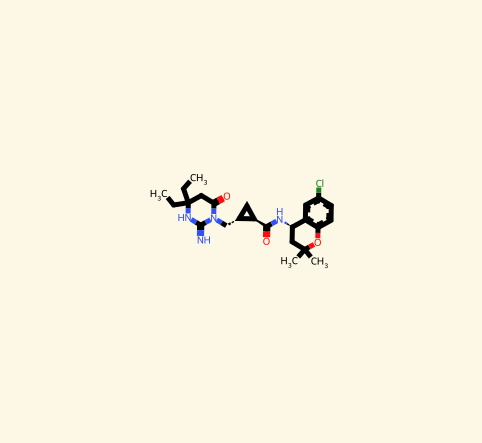 CCC1(CC)CC(=O)N(C[C@@H]2C[C@H]2C(=O)N[C@H]2CC(C)(C)Oc3ccc(Cl)cc32)C(=N)N1